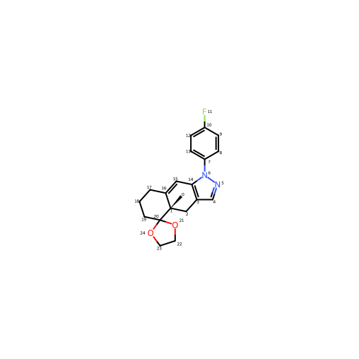 C[C@]12Cc3cnn(-c4ccc(F)cc4)c3C=C1CCCC21OCCO1